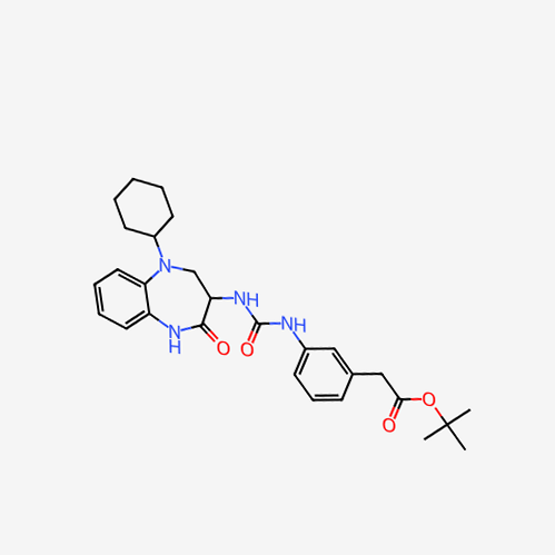 CC(C)(C)OC(=O)Cc1cccc(NC(=O)NC2CN(C3CCCCC3)c3ccccc3NC2=O)c1